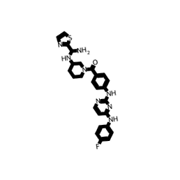 NC(NC1CCCN(C(=O)c2ccc(Nc3nccc(Nc4ccc(F)cc4)n3)cc2)C1)c1nccs1